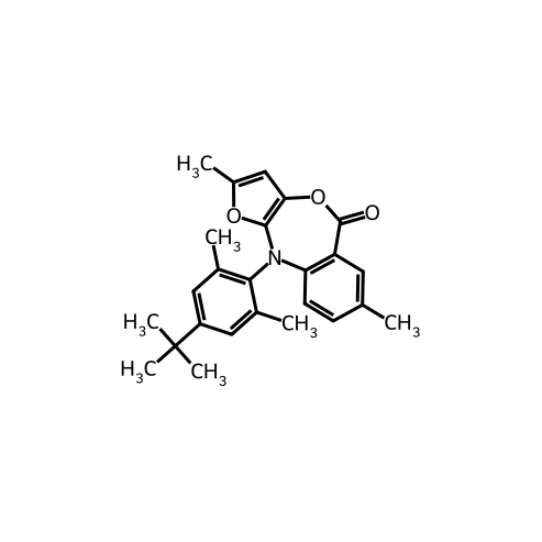 Cc1ccc2c(c1)C(=O)Oc1cc(C)oc1N2c1c(C)cc(C(C)(C)C)cc1C